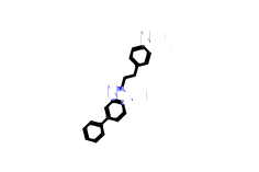 O=[N+]([O-])c1ccc(CCc2nc3cc(-c4ccccc4)ccc3[nH]2)cc1